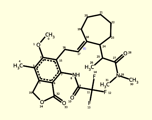 COc1c(C)c2c(c(NC(=O)C(F)(F)F)c1C/C=C1\CCCCCC1C(C)C(=O)N(C)C)C(=O)OC2